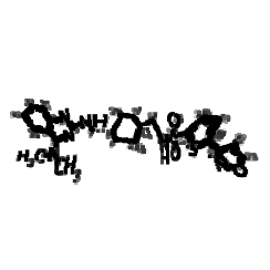 CN(C)c1nc(NC[C@H]2CC[C@H](CNS(=O)(=O)c3ccc(-c4ccon4)s3)CC2)nc2ccccc12